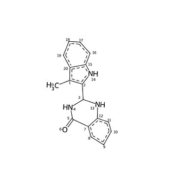 Cc1c(C2NC(=O)c3ccccc3N2)[nH]c2ccccc12